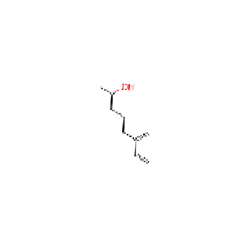 C=CC(=C)CCCC(C)O